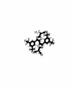 C/C(C#N)=c1\nc(-c2cc(C(F)(F)F)cc(C(F)(F)F)c2)/c(=c2\oc(=C(C#N)C#N)nc2-c2cc(C(F)(F)F)cc(C(F)(F)F)c2)o1